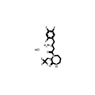 Cl.N[C@@H](CC(=O)N1CCCNC(=O)[C@H]1CC(F)(F)F)Cc1cc(F)c(F)cc1F